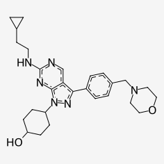 OC1CCC(n2nc(-c3ccc(CN4CCOCC4)cc3)c3cnc(NCCC4CC4)nc32)CC1